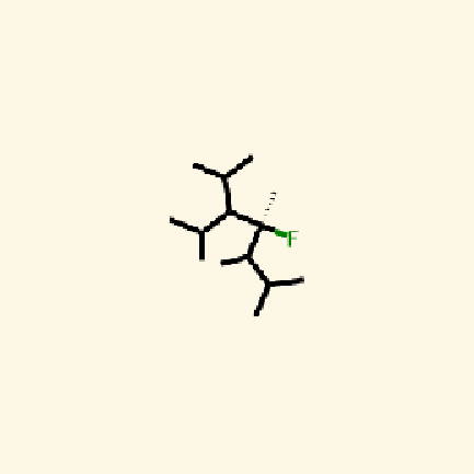 CC(C)C(C)[C@](C)(F)C(C(C)C)C(C)C